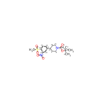 CC(C)(C)OC(=O)N1CCC(c2ccc(S(C)(=O)=O)c([N+](=O)[O-])c2)CC1